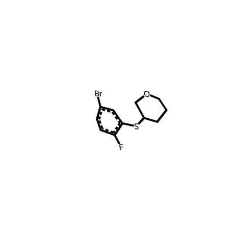 Fc1ccc(Br)cc1SC1CCCOC1